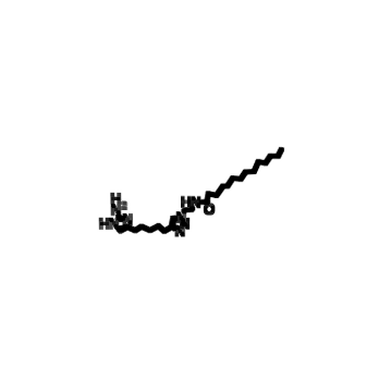 CCCCCCCCCCCCCC(=O)NCCn1cc(CCCCCc2c[nH]c(N)n2)nn1